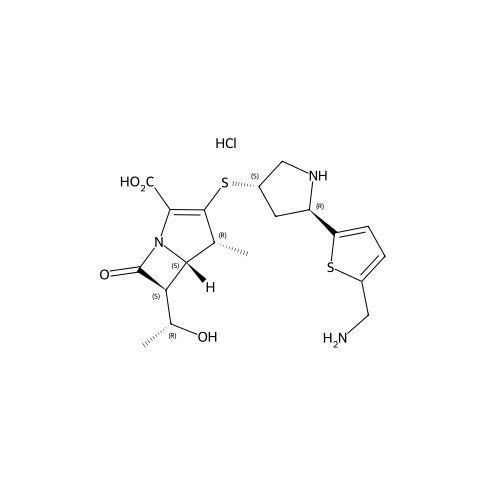 C[C@@H](O)[C@H]1C(=O)N2C(C(=O)O)=C(S[C@@H]3CN[C@@H](c4ccc(CN)s4)C3)[C@H](C)[C@H]12.Cl